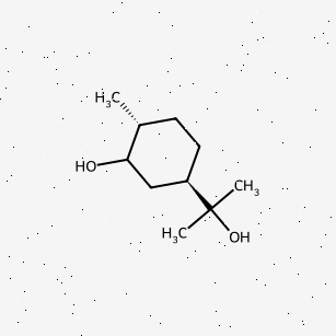 C[C@@H]1CC[C@@H](C(C)(C)O)CC1O